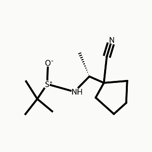 C[C@@H](N[S+]([O-])C(C)(C)C)C1(C#N)CCCC1